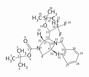 CC(C)(C)OC(=O)N1C[C@@H]2C[C@H]1C(C(O[Si](C)(C)C)C(F)(F)F)N2Cc1ccccc1